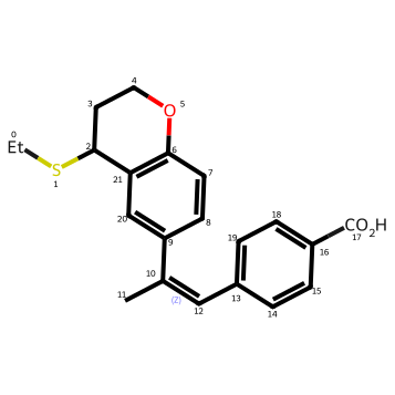 CCSC1CCOc2ccc(/C(C)=C\c3ccc(C(=O)O)cc3)cc21